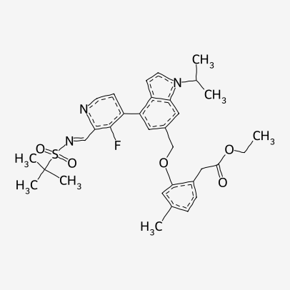 CCOC(=O)Cc1ccc(C)cc1OCc1cc(-c2ccnc(C=NS(=O)(=O)C(C)(C)C)c2F)c2ccn(C(C)C)c2c1